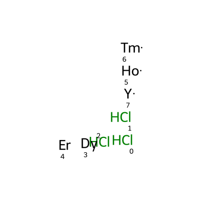 Cl.Cl.Cl.[Dy].[Er].[Ho].[Tm].[Y]